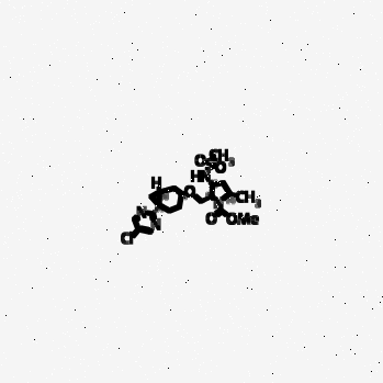 COC(=O)N1[C@H](C)C[C@H](NS(C)(=O)=O)[C@@H]1CO[C@H]1CC[C@@]2(c3ncc(Cl)cn3)C[C@H]2C1